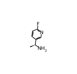 C[C@H](N)c1ccc(F)nc1